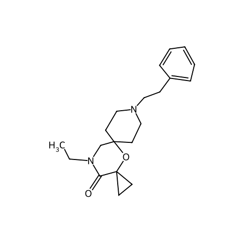 CCN1CC2(CCN(CCc3ccccc3)CC2)OC2(CC2)C1=O